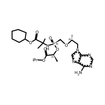 CC(C)OC(=O)[C@H](C)O[P@](=O)(CO[C@H](C)Cn1cnc2c(N)ncnc21)NC(C)(C)C(=O)OC1CCCCC1